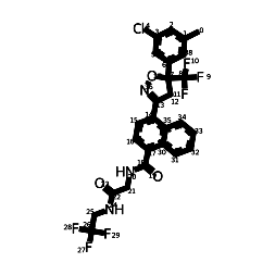 Cc1cc(Cl)cc(C2(C(F)(F)F)CC(c3ccc(C(=O)NCC(=O)NCC(F)(F)F)c4ccccc34)=NO2)c1